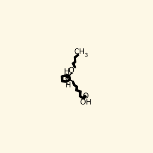 CCCCCCOC[C@H]1[C@@H](CCCCCCC(=O)O)[C@H]2CC[C@@H]1O2